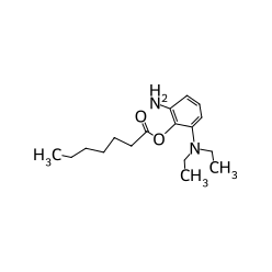 CCCCCCC(=O)Oc1c(N)cccc1N(CC)CC